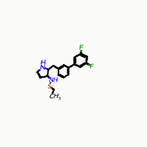 CCSNC1CCNC1Cc1cccc(-c2cc(F)cc(F)c2)c1